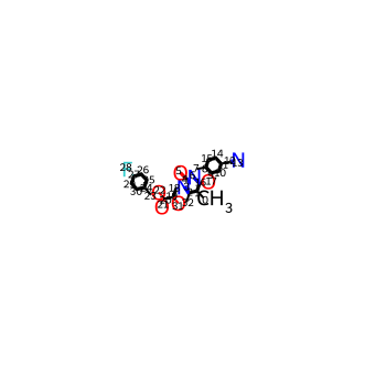 Cc1c2n(c(=O)n(Cc3ccc(C#N)cc3)c1=O)C=C(C(=O)OCc1ccc(F)cc1)OC2